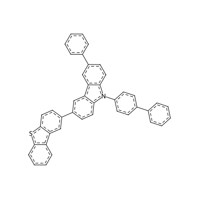 c1ccc(-c2ccc(-n3c4ccc(-c5ccccc5)cc4c4cc(-c5ccc6sc7ccccc7c6c5)ccc43)cc2)cc1